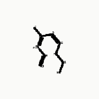 C=C/N=C(C)\C=C/CCC